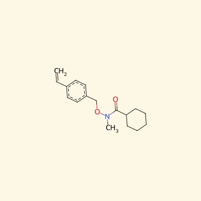 C=Cc1ccc(CON(C)C(=O)C2CCCCC2)cc1